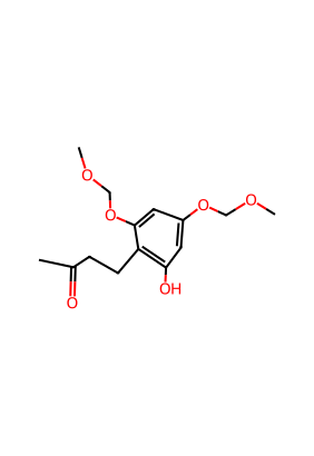 COCOc1cc(O)c(CCC(C)=O)c(OCOC)c1